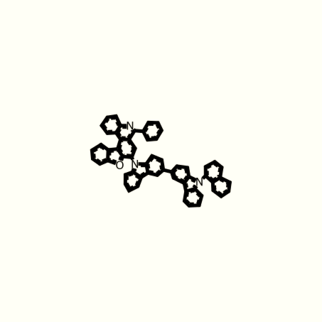 c1ccc(-c2nc3ccccc3c3c2cc(-n2c4ccccc4c4cc(-c5ccc6c(c5)c5ccccc5n6-c5cccc6ccccc56)ccc42)c2oc4ccccc4c23)cc1